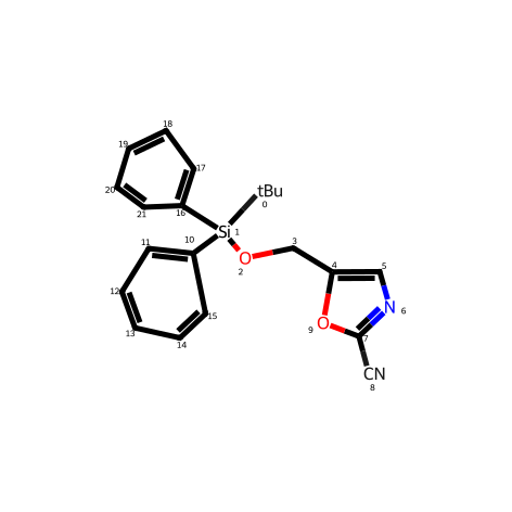 CC(C)(C)[Si](OCc1cnc(C#N)o1)(c1ccccc1)c1ccccc1